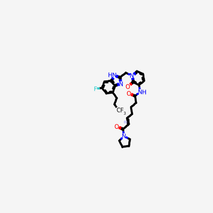 O=C(CCC/C=C/C(=O)N1CCCC1)Nc1cccn(Cc2nc3c(CCC(F)(F)F)cc(F)cc3[nH]2)c1=O